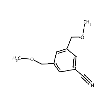 COCc1cc(C#N)cc(COC)c1